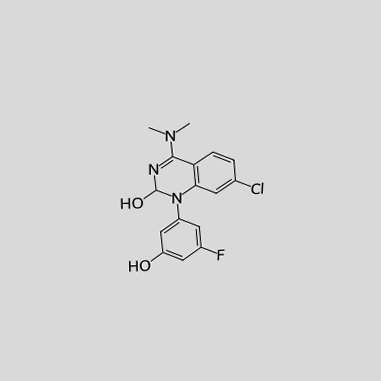 CN(C)C1=NC(O)N(c2cc(O)cc(F)c2)c2cc(Cl)ccc21